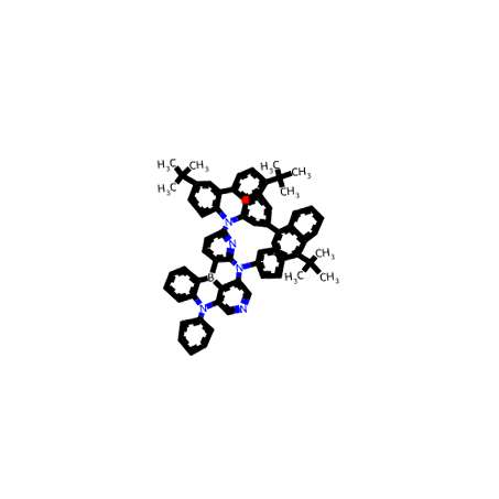 CC(C)(C)c1ccc(-c2cc(C(C)(C)C)ccc2N(c2cccc(-c3ccc(C(C)(C)C)c4ccccc34)c2)c2ccc3c(n2)N(c2ccccc2)c2cncc4c2B3c2ccccc2N4c2ccccc2)cc1